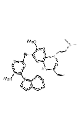 C=CC(=O)Nc1cc(Nc2ncc(NC)c(-n3ccc4ccccc43)n2)c(OC)cc1N(C)CCN(C)C